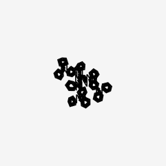 c1ccc(N(c2ccccc2)c2ccc3c(c2)c2ccccc2n3-c2cc(-n3c4ccccc4c4cc(N(c5ccccc5)c5ccccc5)ccc43)nc(N(c3ccccc3)c3ccc4c5ccccc5n(-c5ccccc5)c4c3)n2)cc1